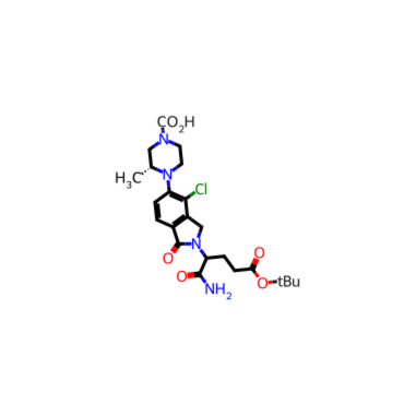 C[C@@H]1CN(C(=O)O)CCN1c1ccc2c(c1Cl)CN(C(CCC(=O)OC(C)(C)C)C(N)=O)C2=O